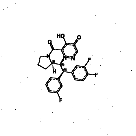 O=C1c2c(O)c(=O)cnn2[C@@H]([C@H](c2cccc(F)c2)c2ccc(F)c(F)c2)[C@H]2CCCN12